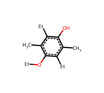 CCOc1c(C)c(CC)c(O)c(C)c1CC